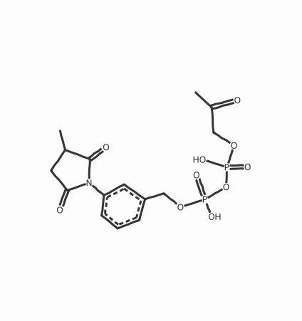 CC(=O)COP(=O)(O)OP(=O)(O)OCc1cccc(N2C(=O)CC(C)C2=O)c1